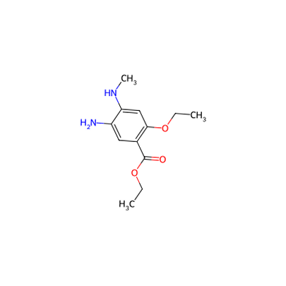 CCOC(=O)c1cc(N)c(NC)cc1OCC